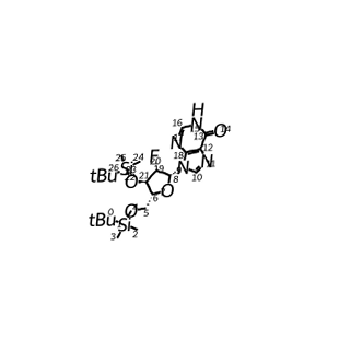 CC(C)(C)[Si](C)(C)OC[C@H]1O[C@@H](n2cnc3c(=O)[nH]cnc32)[C@@H](F)[C@@H]1O[Si](C)(C)C(C)(C)C